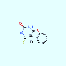 CC[C@@]1(c2ccccc2)C(=O)NC(=O)NC1=S